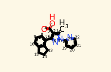 Cc1c(C(=O)O)c(-c2cccc3c2CCC3)nn1-c1ccccn1